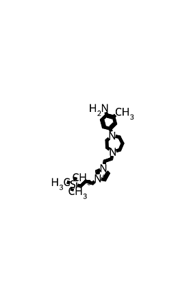 Cc1cc(N2CCCN(CCn3cc[n+](CCC[Si](C)(C)C)c3)CC2)ccc1N